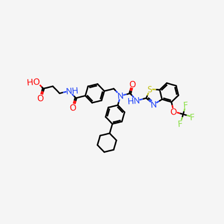 O=C(O)CCNC(=O)c1ccc(CN(C(=O)Nc2nc3c(OC(F)(F)F)cccc3s2)c2ccc(C3CCCCC3)cc2)cc1